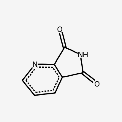 O=C1NC(=O)c2ncccc21